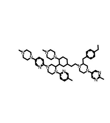 CCc1ccc(CC2CN(c3cnc(C)nc3)CCN2CCC2CCC(N3CCN(C)CC3)C(C3CN(c4ccc(N5CCN(C)CC5)cn4)CCN3c3ccc(C)cn3)C2)cc1